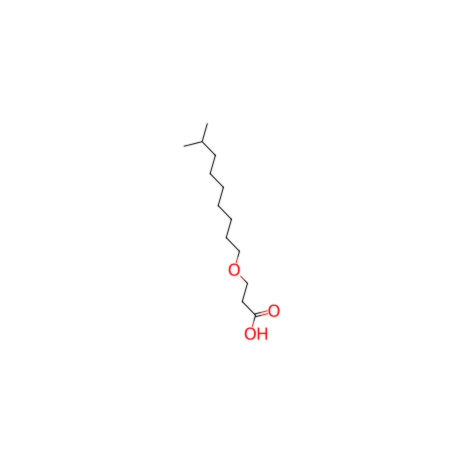 CC(C)CCCCCCCOCCC(=O)O